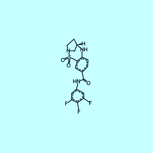 O=C(Nc1cc(F)c(F)c(F)c1)c1ccc2c(c1)S(=O)(=O)N1CC[C@@H](C1)N2